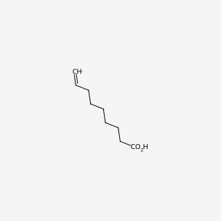 [CH]=CCCCCCCC(=O)O